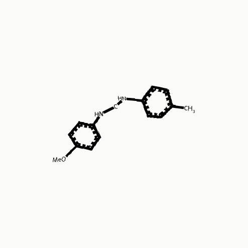 COc1ccc(NCNc2ccc(C)cc2)cc1